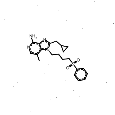 Cc1cnc(N)c2nc(CC3CC3)n(CCCCS(=O)(=O)c3ccccc3)c12